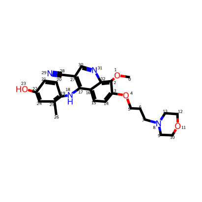 COc1c(OCCCN2CCOCC2)ccc2c(Nc3ccc(O)cc3C)c(C#N)cnc12